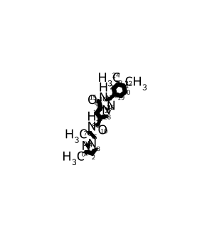 Cc1ccn(CC(C)NC(=O)c2cc3c(=O)[nH]c(-c4ccc(C)c(C)c4)nn3c2)n1